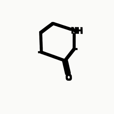 O=C1[CH]CCN[CH]1